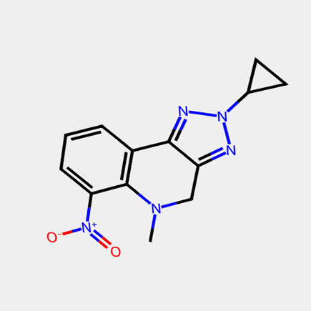 CN1Cc2nn(C3CC3)nc2-c2cccc([N+](=O)[O-])c21